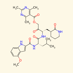 COc1cccc2[nH]c(C(=O)N[C@@H](CC(C)C)C(=O)N[C@@H](C[C@@H]3CCCNC3=O)C(=O)COC(=O)c3c(C)nc(C)nc3C)cc12